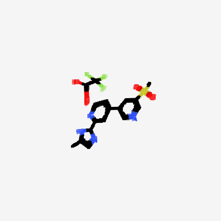 Cc1cnc(-c2cc(-c3cncc(S(C)(=O)=O)c3)ccn2)[nH]1.O=C(O)C(F)(F)F